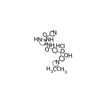 CC1(C)CCCN(c2ccc(O)c(C(=O)c3ccc(C(=O)N[C@@H]4CCCNC[C@H]4NC(=O)c4ccncc4)cc3)c2)C1.Cl